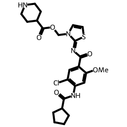 COc1cc(NC(=O)C2CCCC2)c(Cl)cc1C(=O)/N=c1\sccn1COC(=O)C1CCNCC1